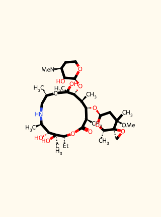 CC[C@H]1OC(=O)[C@H](C)[C@@H](O[C@H]2C[C@@](C)(OC)[C@]3(CO3)[C@H](C)O2)[C@H](C)[C@@H](O[C@@H]2OCC[C@H](NC)[C@H]2O)[C@](C)(O)C[C@@H](C)CN[C@H](C)[C@@H](O)[C@]1(C)O